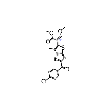 CO/C=C(\C(=O)OC)c1sc2nc(C(=O)c3ccc(Cl)cc3)nn2c1C